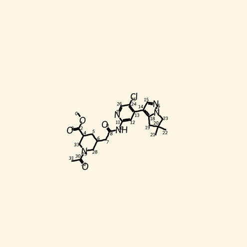 COC(=O)C1CC(CC(=O)Nc2cc(-c3cnn4c3CC(C)(C)C4)c(Cl)cn2)CN(C(C)=O)C1